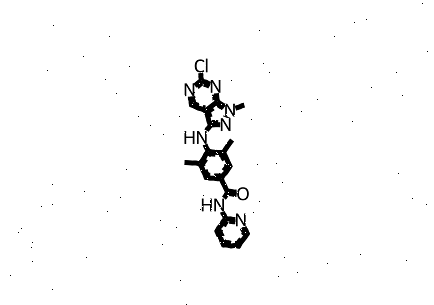 Cc1cc(C(=O)Nc2ccccn2)cc(C)c1Nc1nn(C)c2nc(Cl)ncc12